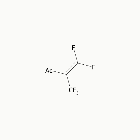 CC(=O)C(=C(F)F)C(F)(F)F